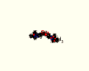 CC12c3ccccc3-c3cccc(c31)N(c1ccc3cc4c(cc3c1)oc1cc3oc5cc6cc(N7c8ccccc8C8(C)c9ccccc9-c9cccc7c98)ccc6cc5c3cc14)c1ccccc12